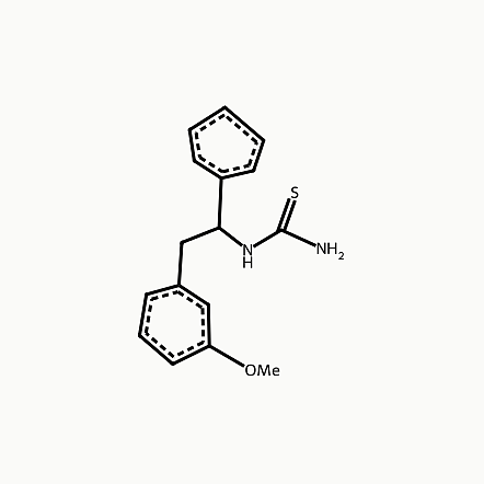 COc1cccc(CC(NC(N)=S)c2ccccc2)c1